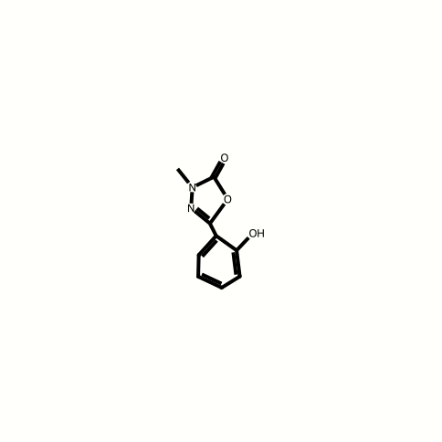 Cn1nc(-c2ccccc2O)oc1=O